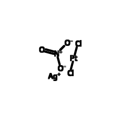 O=[N+]([O-])[O-].[Ag+].[Cl][Pt][Cl]